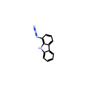 [N-]=[N+]=Nc1cccc2c1[nH]c1ccccc12